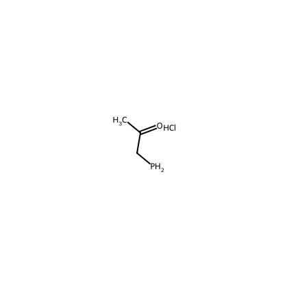 CC(=O)CP.Cl